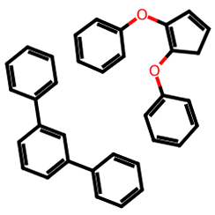 C1=CC(Oc2ccccc2)=C(Oc2ccccc2)C1.c1ccc(-c2cccc(-c3ccccc3)c2)cc1